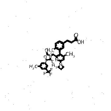 Cc1cc([C@H]2OC(=O)N(Cc3nc(N4CCC4)cc(C)c3-c3cc(CCC(=O)O)ccc3C)[C@H]2C)cc(C(F)(F)F)c1